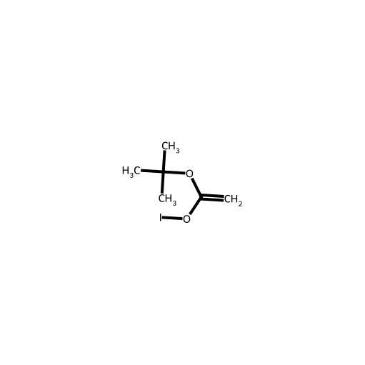 C=C(OI)OC(C)(C)C